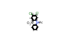 CC(=O)N(c1ccccc1)c1cc(Cl)c(Cl)cc1[N+](=O)[O-]